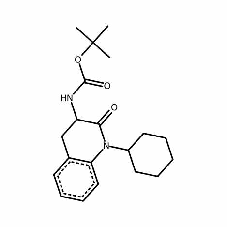 CC(C)(C)OC(=O)NC1Cc2ccccc2N(C2CCCCC2)C1=O